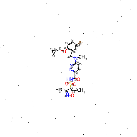 Cc1noc(C)c1S(=O)(=O)NC(=O)c1ccc(N(C)Cc2cc(Br)ccc2OCC2CC2)nn1